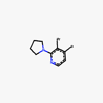 CCc1ccnc(N2CCCC2)c1C(C)C